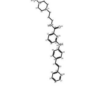 CN1CCN(CCCNC(=O)c2cccc(Nc3ccc(/C=C/c4ccccn4)cc3)n2)CC1